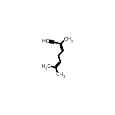 C#CC(C)=CCC=C(C)C